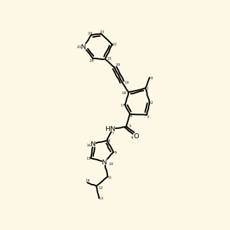 Cc1ccc(C(=O)Nc2cn(CC(C)C)cn2)cc1C#Cc1cccnc1